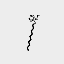 CCCCCCCCC[CH]O[Si](OC)(OC)OC